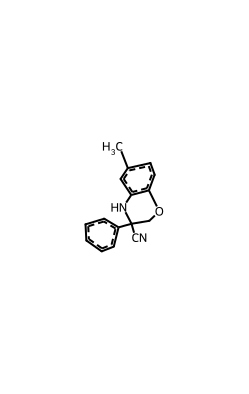 Cc1ccc2c(c1)NC(C#N)(c1ccccc1)CO2